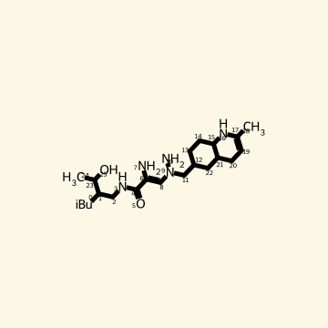 CCC(C)C(CNC(=O)/C(N)=C/N(N)CC1CCC2NC(C)=CCC2C1)C(C)O